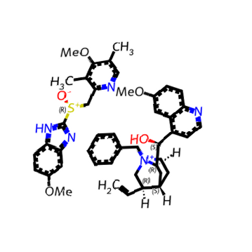 C=C[C@H]1C[N+]2(Cc3ccccc3)CC[C@H]1C[C@@H]2[C@@H](O)c1ccnc2ccc(OC)cc12.COc1ccc2[nH]c([S@@+]([O-])Cc3ncc(C)c(OC)c3C)nc2c1